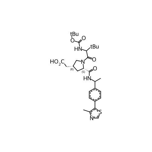 Cc1ncsc1-c1ccc(C(C)NC(=O)[C@@H]2C[C@H](CC(=O)O)CN2C(=O)C(NC(=O)OC(C)(C)C)C(C)(C)C)cc1